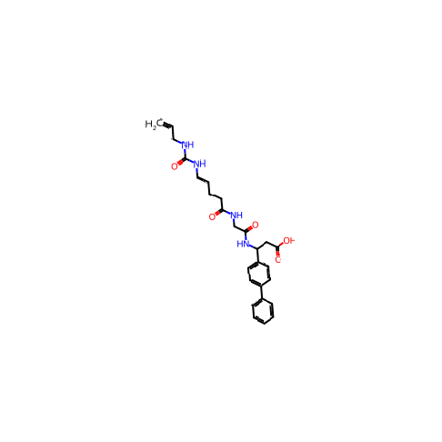 C=CCNC(=O)NCCCCC(=O)NCC(=O)NC(CC(=O)O)c1ccc(-c2ccccc2)cc1